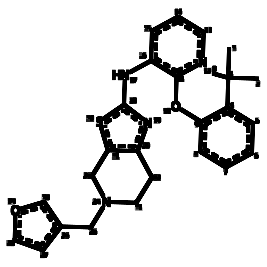 CC(C)(C)c1ccccc1Oc1ncccc1Nc1nc2c(s1)CN(Cc1ccoc1)CC2